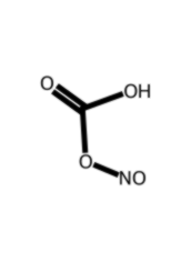 O=NOC(=O)O